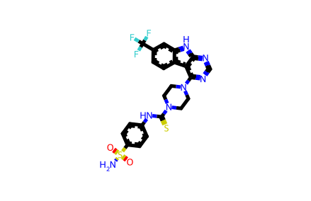 NS(=O)(=O)c1ccc(NC(=S)N2CCN(c3ncnc4[nH]c5cc(C(F)(F)F)ccc5c34)CC2)cc1